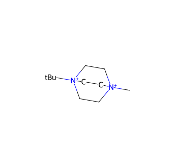 CC(C)(C)[N+]12CC[N+](C)(CC1)CC2